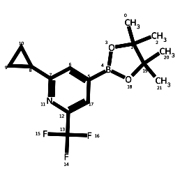 CC1(C)OB(c2cc(C3CC3)nc(C(F)(F)F)c2)OC1(C)C